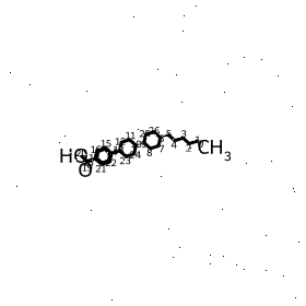 CCCCCC[C@H]1CC[C@H](C2CCC(c3ccc(C(=O)O)cc3)CC2)CC1